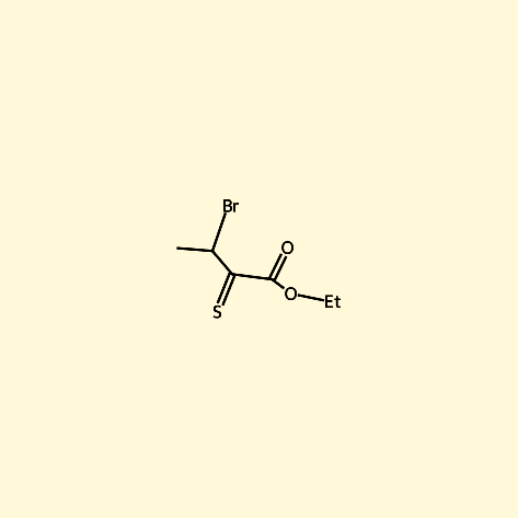 CCOC(=O)C(=S)C(C)Br